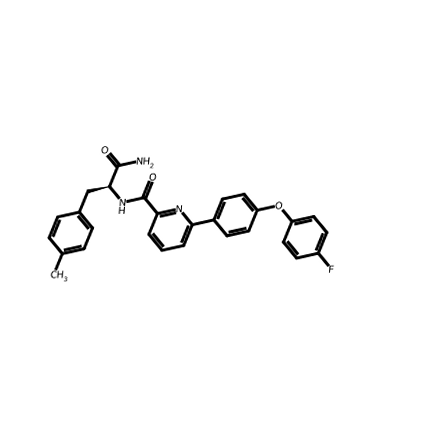 Cc1ccc(C[C@H](NC(=O)c2cccc(-c3ccc(Oc4ccc(F)cc4)cc3)n2)C(N)=O)cc1